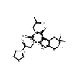 CC(=O)Cn1c(=O)c2c3c(sc2n(CC(=O)N2CCCC2)c1=O)COC(C)(C)C3